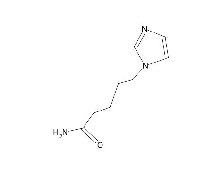 NC(=O)CCCCn1c[c]nc1